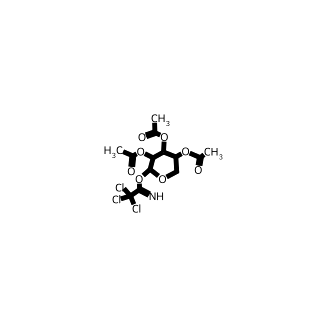 CC(=O)OC1COC(OC(=N)C(Cl)(Cl)Cl)C(OC(C)=O)C1OC(C)=O